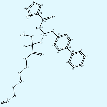 COCCOCCOC(=O)C(C)(CO)C[C@@H](Cc1ccc(-c2ccccc2)cc1)NC(=O)c1cnn[nH]1